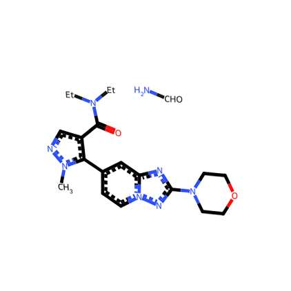 CCN(CC)C(=O)c1cnn(C)c1-c1ccn2nc(N3CCOCC3)nc2c1.NC=O